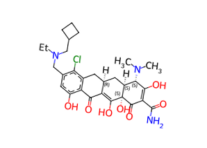 CCN(Cc1cc(O)c2c(c1Cl)C[C@H]1C[C@H]3[C@H](N(C)C)C(O)=C(C(N)=O)C(=O)[C@@]3(O)C(O)=C1C2=O)CC1CCC1